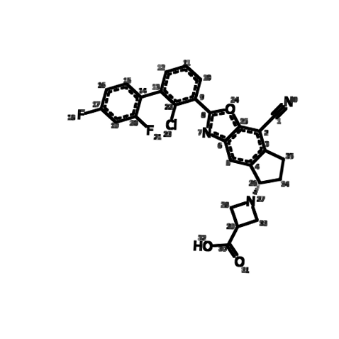 N#Cc1c2c(cc3nc(-c4cccc(-c5ccc(F)cc5F)c4Cl)oc13)[C@@H](N1CC(C(=O)O)C1)CC2